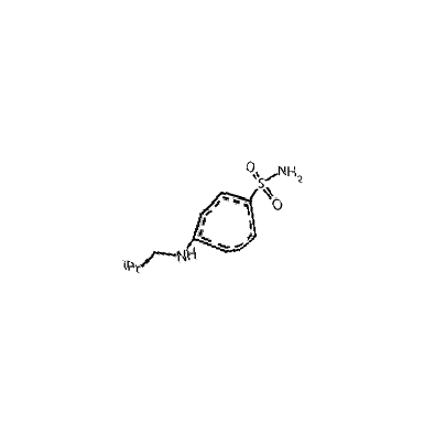 CC(C)CNc1ccc(S(N)(=O)=O)cc1